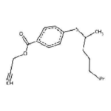 C#CCOC(=O)c1ccc(SC(C)CCCC(C)C)cc1